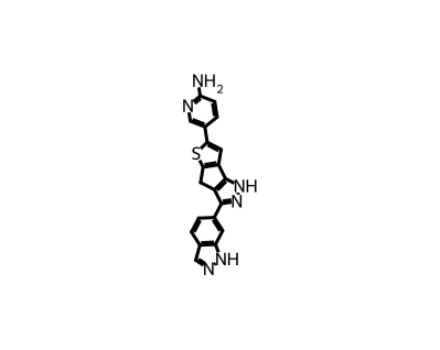 Nc1ccc(-c2cc3c(s2)Cc2c(-c4ccc5cn[nH]c5c4)n[nH]c2-3)cn1